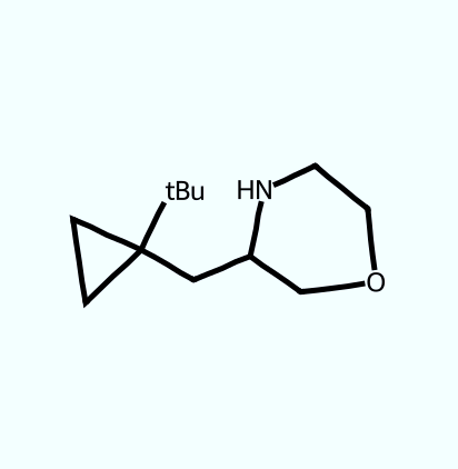 CC(C)(C)C1(CC2COCCN2)CC1